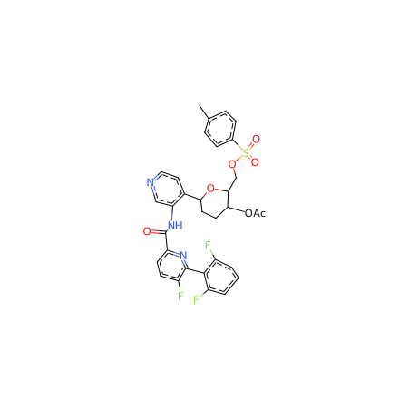 CC(=O)OC1CCC(c2ccncc2NC(=O)c2ccc(F)c(-c3c(F)cccc3F)n2)OC1COS(=O)(=O)c1ccc(C)cc1